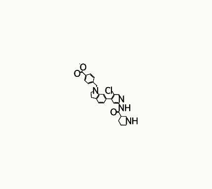 COC(=O)c1ccc(CN2CCc3ccc(-c4cc(NC(=O)C5CCCNC5)ncc4Cl)cc32)cc1